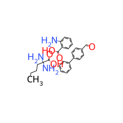 CCCCC(N)(N)C(=O)O.Nc1ccccc1C(=O)O.O=Cc1ccc(-c2ccccc2)cc1